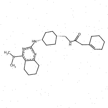 CN(C)c1nc(N[C@H]2CC[C@@H](CNC(=O)CC3=CCCCC3)CC2)nc2c1CCCC2